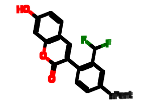 CCCCCc1ccc(-c2cc3ccc(O)cc3oc2=O)c(C(F)F)c1